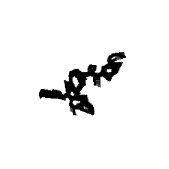 CCCCc1nc2c(c3c1C[C@H](C)OC3)CN(C(=O)Nc1cccc(C#N)c1)CC2